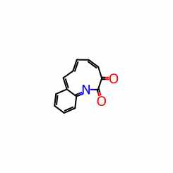 O=C1\C=C/C=C/C=c2/cccc/c2=N\C1=O